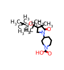 CC(C)(C)[SiH2]OC(C)(C)C1CN(C2CCCN(C(=O)O)CC2)C(=O)C1(C)C